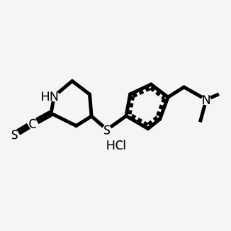 CN(C)Cc1ccc(SC2CCNC(=C=S)C2)cc1.Cl